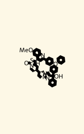 C=C[C@@H](Cn1cc(C(O)(c2ccccc2)c2ccccc2)nn1)[C@H]1CCN2C(=O)S[C@@H](c3cc(-c4ccc(Oc5ccccc5)cc4)nc4ccc(OC)cc34)[C@@H]2C1